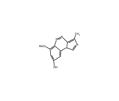 COc1cc(O)cc2c1nnc1c(C)ncn12